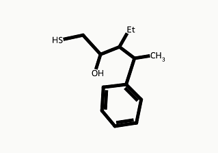 CCC(C(O)CS)C(C)c1ccccc1